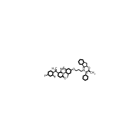 C=C(c1ccc(F)cc1F)c1ccc(=O)n(-c2c(F)cc(OCCCN[C@H](C(=C)OC3Cc4ccccc4C3)c3ccccc3)cc2F)c1N